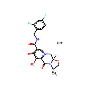 C[C@@H]1CO[C@H]2Cn3cc(C(=O)NCc4ccc(F)cc4F)c(=O)c(O)c3C(=O)N12.[NaH]